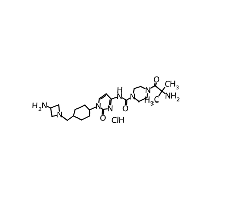 CC(C)(N)C(=O)N1CCN(C(=O)Nc2ccn(C3CCC(CN4CC(N)C4)CC3)c(=O)n2)CC1.Cl